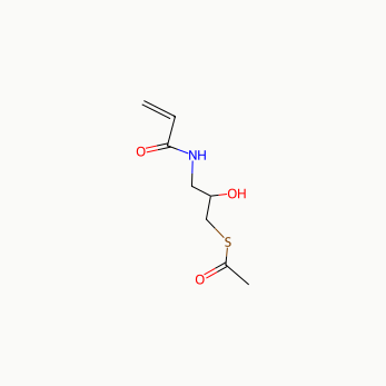 C=CC(=O)NCC(O)CSC(C)=O